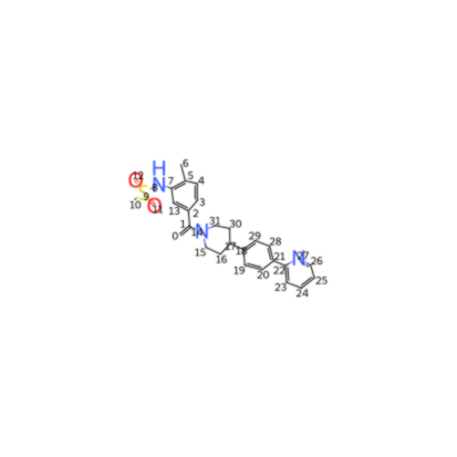 C=C(c1ccc(C)c(NS(C)(=O)=O)c1)N1CCC(c2ccc(-c3ccccn3)cc2)CC1